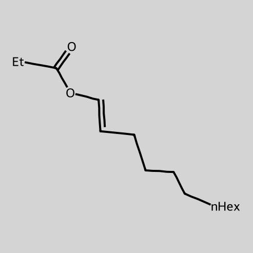 CCCCCCCCCCC=COC(=O)CC